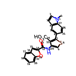 Cn1ccc2cc(-c3scc(NC(=O)c4cc5ccccc5o4)c3C(=O)O)ccc21